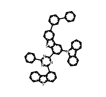 c1ccc(-c2cccc(-c3ccc4sc5c(-c6nc(-c7ccccc7)nc(-c7cccc8sc9ccccc9c78)n6)cc(-n6c7ccccc7c7ccccc76)cc5c4c3)c2)cc1